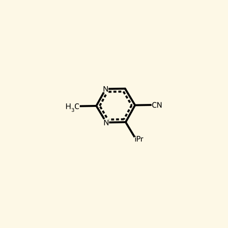 Cc1ncc(C#N)c(C(C)C)n1